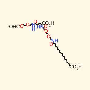 O=[C]COCCOCCNC(=O)CC[C@H](NC(=O)COCCOCCNC(=O)CCCCCCCCCCCCCCC(=O)O)C(=O)O